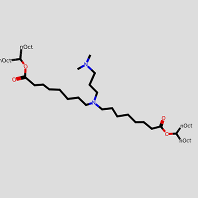 CCCCCCCCC(CCCCCCCC)OC(=O)CCCCCCCN(CCCCCCCC(=O)OC(CCCCCCCC)CCCCCCCC)CCCN(C)C